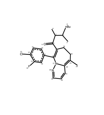 CCCCC(C)C(C)C(=O)C1=C(c2ccc(Cl)c(F)c2)N2N=CC=CC2=C(C)CC1